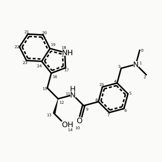 CN(C)Cc1cccc(C(=O)N[C@@H](CO)Cc2c[nH]c3ccccc23)c1